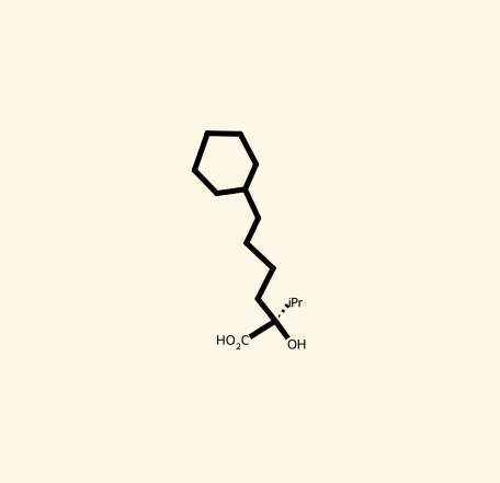 CC(C)[C@@](O)(CCCCC1CCCCC1)C(=O)O